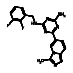 Cc1ncc2ccc(-c3nc(N)nc(NCc4cccc(F)c4F)n3)cn12